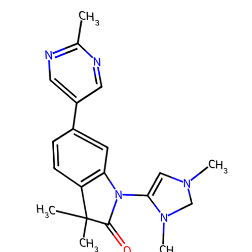 Cc1ncc(-c2ccc3c(c2)N(C2=CN(C)CN2C)C(=O)C3(C)C)cn1